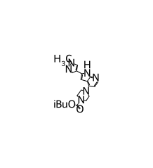 CC(C)COC(=O)N1CCN(c2ccnc3[nH]c(-c4cnn(C)c4)cc23)CC1